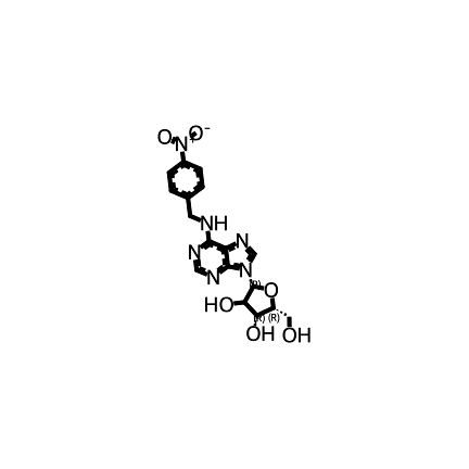 O=[N+]([O-])c1ccc(CNc2ncnc3c2ncn3[C@@H]2O[C@H](CO)[C@H](O)C2O)cc1